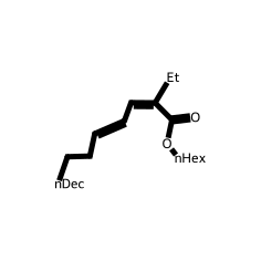 CCCCCCCCCCCCC=CC=C(CC)C(=O)OCCCCCC